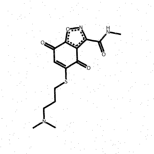 CNC(=O)c1noc2c1C(=O)C(SCCCN(C)C)=CC2=O